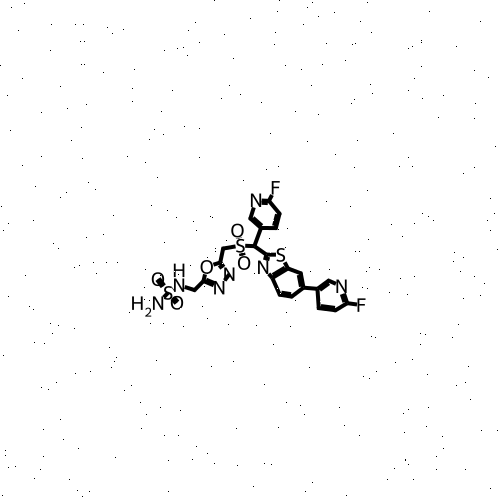 NS(=O)(=O)NCc1nnc(CS(=O)(=O)C(c2ccc(F)nc2)c2nc3ccc(-c4ccc(F)nc4)cc3s2)o1